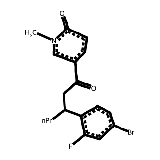 CCCC(CC(=O)c1ccc(=O)n(C)c1)c1ccc(Br)cc1F